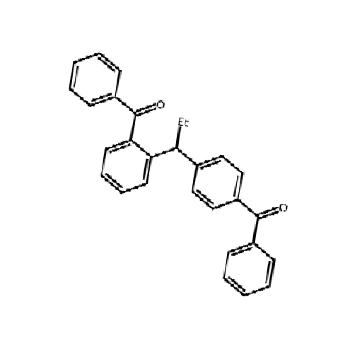 CCC(c1ccc(C(=O)c2ccccc2)cc1)c1ccccc1C(=O)c1ccccc1